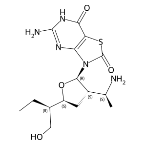 CC[C@H](CO)[C@@H]1C[C@@H]([C@H](C)N)[C@H](n2c(=O)sc3c(=O)[nH]c(N)nc32)O1